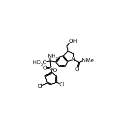 CNC(=O)N1CC(CO)c2cc(C(N)(C(=O)O)S(=O)(=O)c3cc(Cl)cc(Cl)c3)ccc21